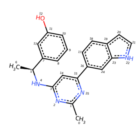 Cc1nc(N[C@@H](C)c2cccc(O)c2)cc(-c2ccc3cc[nH]c3c2)n1